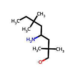 CCC(C)(C)CC(N)CC(C)(C)C[O]